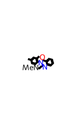 CNCc1nc2ccccc2c(=O)n1-c1ccc(C)cc1C